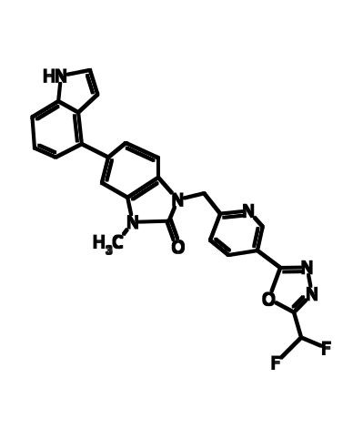 Cn1c(=O)n(Cc2ccc(-c3nnc(C(F)F)o3)cn2)c2ccc(-c3cccc4[nH]ccc34)cc21